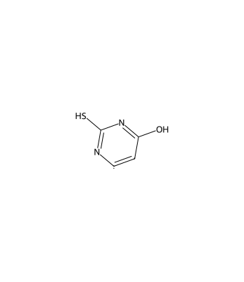 Oc1c[c]nc(S)n1